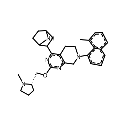 Cc1cccc2cccc(N3CCc4c(nc(OC[C@@H]5CCCN5C)nc4C4CC5CCC4N5)C3)c12